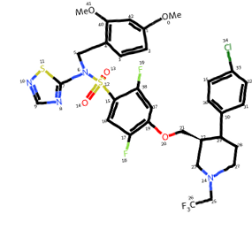 COc1ccc(CN(c2ncns2)S(=O)(=O)c2cc(F)c(OC[C@@H]3CN(CC(F)(F)F)CCC3c3ccc(Cl)cc3)cc2F)c(OC)c1